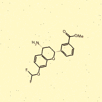 COC(=O)c1cccc([C@H]2C[C@@H](N)c3ccc(OC(F)F)cc3O2)c1